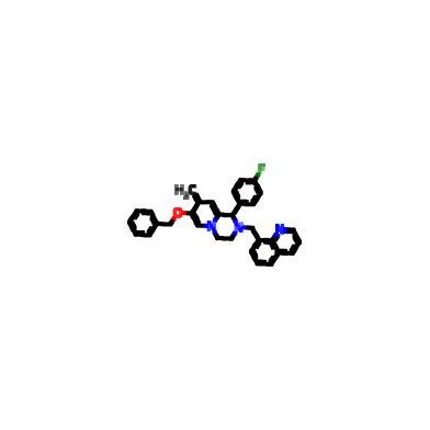 C=C1C=C2C(c3ccc(F)cc3)N(Cc3cccc4cccnc34)CCN2C=C1OCc1ccccc1